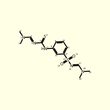 CN(C)/C=N/C(=S)Nc1cccc(S(=O)(=O)/N=C/N(C)C)c1